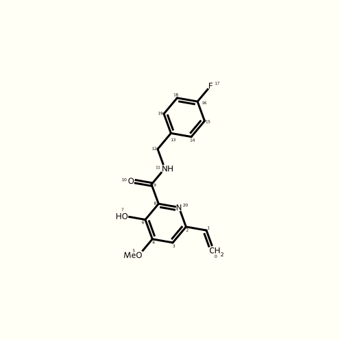 C=Cc1cc(OC)c(O)c(C(=O)NCc2ccc(F)cc2)n1